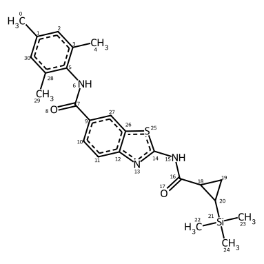 Cc1cc(C)c(NC(=O)c2ccc3nc(NC(=O)C4CC4[Si](C)(C)C)sc3c2)c(C)c1